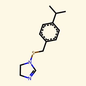 CC(C)c1ccc(CSN2C=NCC2)cc1